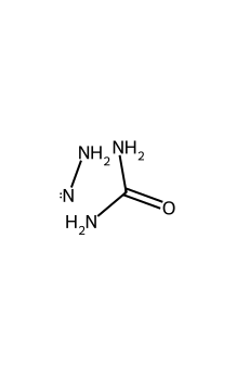 NC(N)=O.[N]N